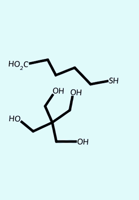 O=C(O)CCCCS.OCC(CO)(CO)CO